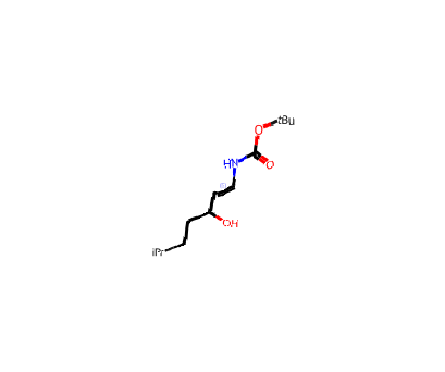 CC(C)CCC(O)/C=C/NC(=O)OC(C)(C)C